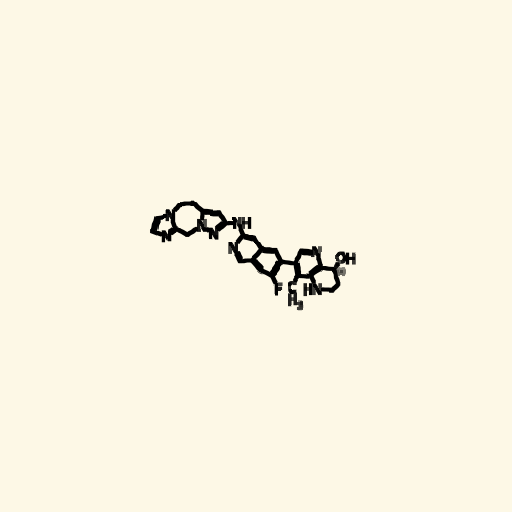 Cc1c(-c2cc3cc(Nc4cc5n(n4)Cc4nccn4CC5)ncc3cc2F)cnc2c1NCC[C@@H]2O